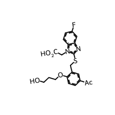 CC(=O)c1ccc(OCCCO)c(CSc2nc3cc(F)ccc3n2CC(=O)O)c1